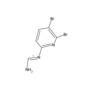 N/C=N/c1ccc(Br)c(Br)n1